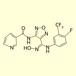 O=C(Nc1nonc1/C(=N\O)Nc1ccc(F)c(C(F)(F)F)c1)c1cccnc1